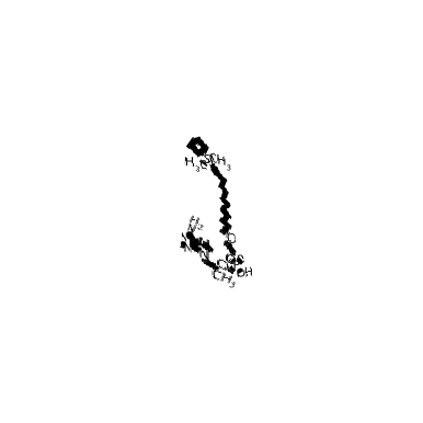 C[C@H](Cn1cnc2c(N)ncnc21)OCP(=O)(O)OCCOCCCCCCCCCCC#C[Si](C)(C)c1ccccc1